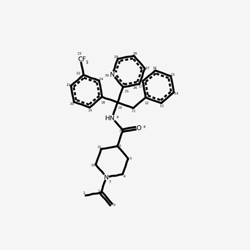 C=C(C)N1CCC(C(=O)NC(Cc2ccccc2)(c2cccc(C(F)(F)F)c2)c2ccccn2)CC1